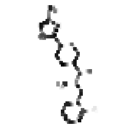 Nc1n[nH]c(N2CCN(C(=O)[C@@H](N)Cc3ccccc3Cl)CC2)n1